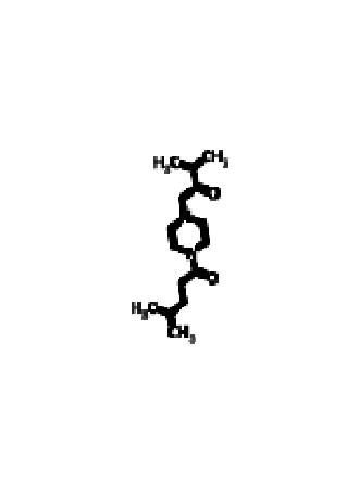 CC(C)CCC(=O)N1CCN(CC(=O)C(C)C)CC1